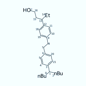 CCCCC(CCCC)c1ccc(CCc2ccc(C(CC)CCO)cc2)cc1